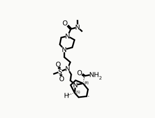 CN(C)C(=O)N1CCN(CCN(CCN2[C@H]3C[CH]C[C@]2(C(N)=O)CC3)S(C)(=O)=O)CC1